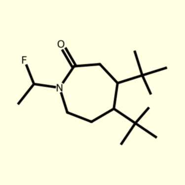 CC(F)N1CCC(C(C)(C)C)C(C(C)(C)C)CC1=O